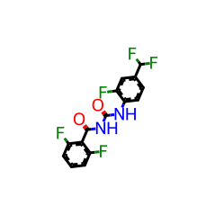 O=C(NC(=O)c1c(F)cccc1F)Nc1ccc(C(F)F)cc1F